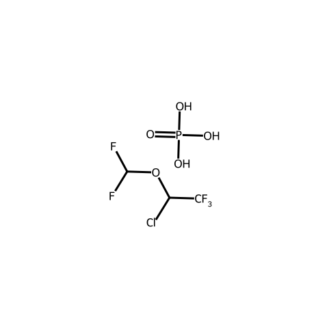 FC(F)OC(Cl)C(F)(F)F.O=P(O)(O)O